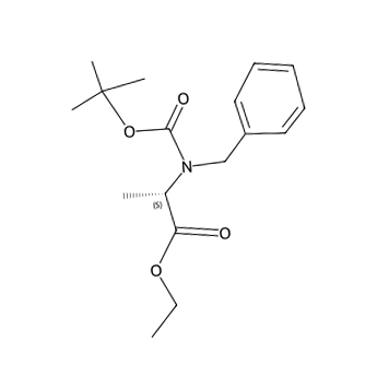 CCOC(=O)[C@H](C)N(Cc1ccccc1)C(=O)OC(C)(C)C